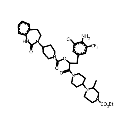 CCOC(=O)N1CCN(C2CCN(C(=O)C(Cc3cc(Cl)c(N)c(C(F)(F)F)c3)OC(=O)N3CCC(N4CCc5ccccc5NC4=O)CC3)CC2)C(C)C1